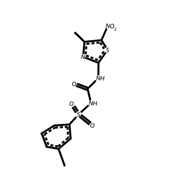 Cc1cccc(S(=O)(=O)NC(=O)Nc2nc(C)c([N+](=O)[O-])s2)c1